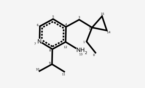 CCC1(Cc2ccnc(C(C)C)c2N)CC1